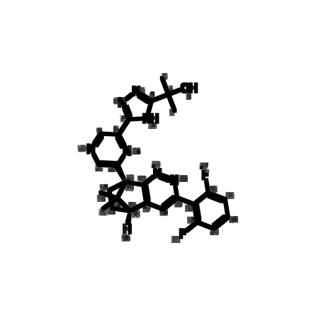 CC(C)(O)c1nnc(-c2cncc([C@@]34CC[C@@H](c5cc(-c6c(F)cccc6F)nnc53)C4(C)C)n2)[nH]1